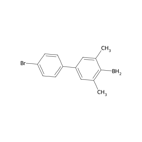 Bc1c(C)cc(-c2ccc(Br)cc2)cc1C